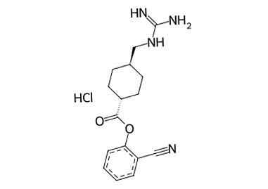 Cl.N#Cc1ccccc1OC(=O)[C@H]1CC[C@H](CNC(=N)N)CC1